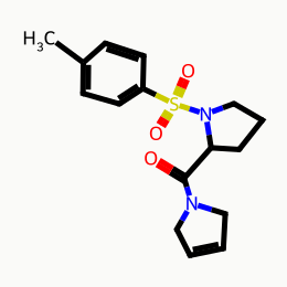 Cc1ccc(S(=O)(=O)N2CCCC2C(=O)N2CC=CC2)cc1